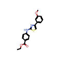 CCOC(=O)c1ccc(Nc2nc(-c3cccc(OC)c3)cs2)cc1